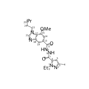 CCn1nc(C)cc1C(=O)NNC(=O)c1cc(OC)c2c(c1)ncn2CCC(C)C